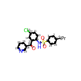 CC(C)c1ccc(S(=O)(=O)Nc2ccc(Cl)cc2C(=O)c2cccnc2)cc1